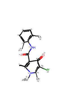 CCCCn1c(C)c(C(=O)Nc2c(CC)cccc2CC)c(=O)c(Br)c1CC